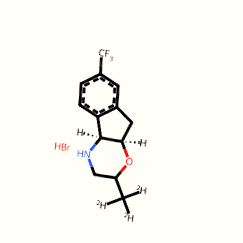 Br.[2H]C([2H])([2H])C1CN[C@H]2c3ccc(C(F)(F)F)cc3C[C@H]2O1